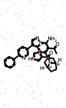 CC(=O)c1c(C2C[C@H]3CC[C@@H](C2)N3C(=O)c2c[nH]cn2)nc2c(-c3ccc(-c4ccccc4)nc3)cnn2c1N